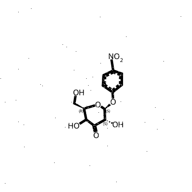 O=C1C(O)[C@@H](CO)O[C@@H](Oc2ccc([N+](=O)[O-])cc2)[C@@H]1O